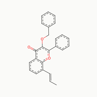 CC=Cc1cccc2c(=O)c(OCc3ccccc3)c(-c3ccccc3)oc12